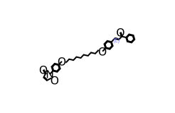 O=C(/C=C/c1ccc(OCCCCCCCCCCOc2ccc(N3C(=O)C=CC3=O)cc2)cc1)c1ccccc1